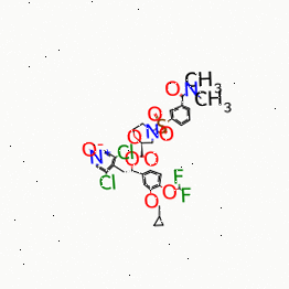 CN(C)C(=O)c1cccc(S(=O)(=O)N2CCO[C@H](C(=O)O[C@@H](Cc3c(Cl)c[n+]([O-])cc3Cl)c3ccc(OC(F)F)c(OCC4CC4)c3)C2)c1